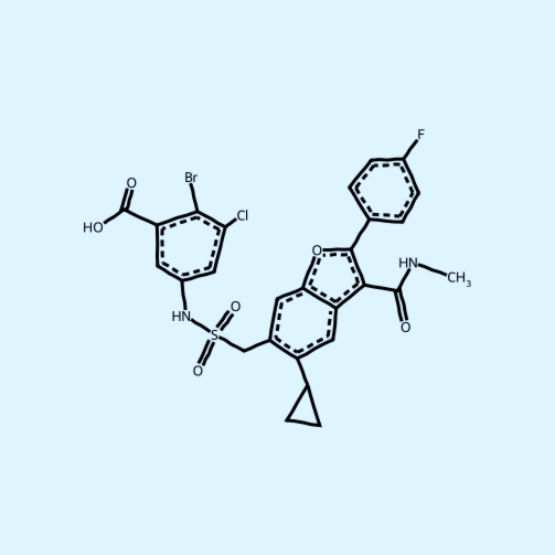 CNC(=O)c1c(-c2ccc(F)cc2)oc2cc(CS(=O)(=O)Nc3cc(Cl)c(Br)c(C(=O)O)c3)c(C3CC3)cc12